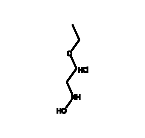 CCOCCNO.Cl